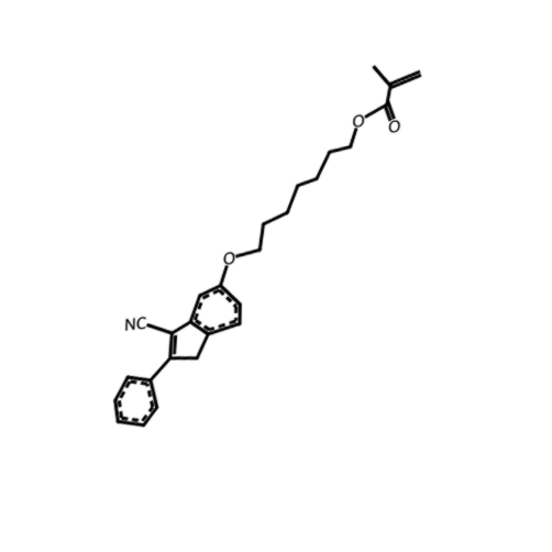 C=C(C)C(=O)OCCCCCCCOc1ccc2c(c1)C(C#N)=C(c1ccccc1)C2